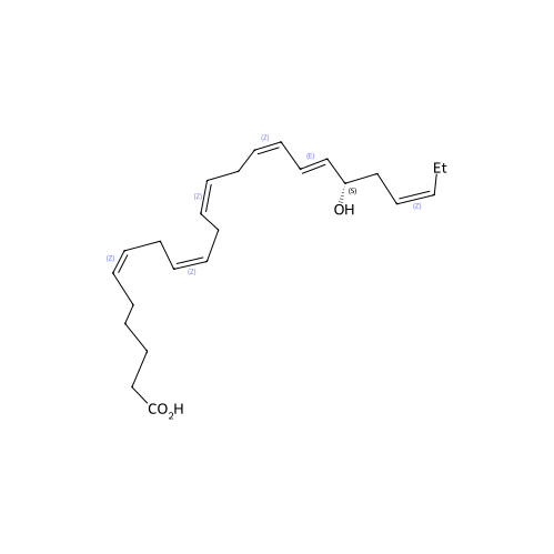 CC/C=C\C[C@H](O)/C=C/C=C\C/C=C\C/C=C\C/C=C\CCCCC(=O)O